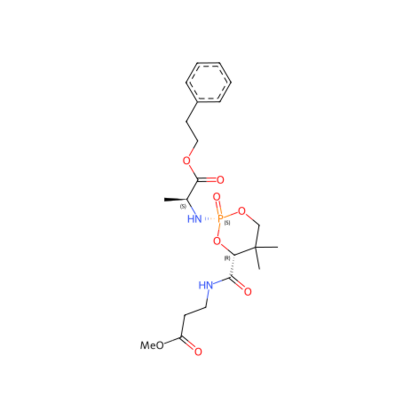 COC(=O)CCNC(=O)[C@@H]1O[P@](=O)(N[C@@H](C)C(=O)OCCc2ccccc2)OCC1(C)C